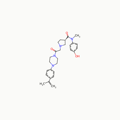 C=C(C)c1ccc(N2CCN(C(=O)CN3CC[C@@H](C(=O)N(C)c4ccc(O)cc4)C3)CC2)cc1